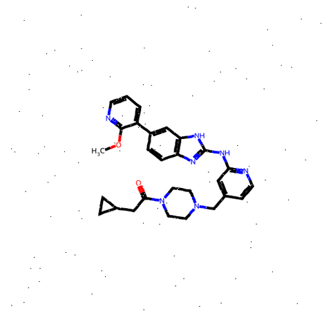 COc1ncccc1-c1ccc2nc(Nc3cc(CN4CCN(C(=O)CC5CC5)CC4)ccn3)[nH]c2c1